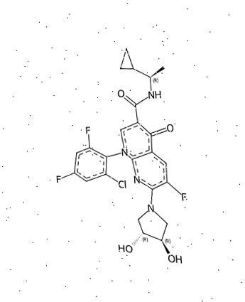 C[C@@H](NC(=O)c1cn(-c2c(F)cc(F)cc2Cl)c2nc(N3C[C@@H](O)[C@H](O)C3)c(F)cc2c1=O)C1CC1